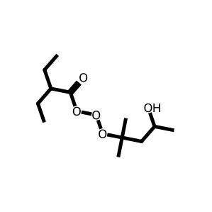 CCC(CC)C(=O)OOOC(C)(C)CC(C)O